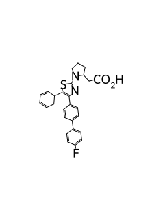 O=C(O)CC1CCCN1c1nc(-c2ccc(-c3ccc(F)cc3)cc2)c(C2C=CC=CC2)s1